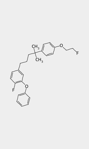 CC(C)(CCCc1ccc(F)c(Oc2ccccc2)c1)c1ccc(OCCF)cc1